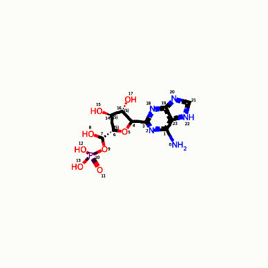 Nc1nc(C2O[C@H](C(O)OP(=O)(O)O)[C@@H](O)[C@@H]2O)nc2nc[nH]c12